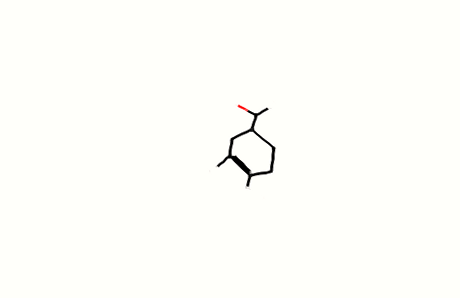 CC1=C(C)CC(C(C)O)CC1